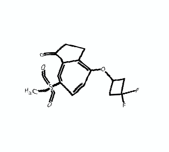 CS(=O)(=O)c1ccc(OC2CC(F)(F)C2)c2c1C(=O)CC2